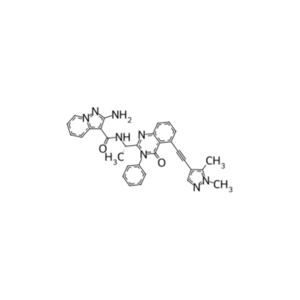 Cc1c(C#Cc2cccc3nc([C@H](C)NC(=O)c4c(N)nn5ccccc45)n(-c4ccccc4)c(=O)c23)cnn1C